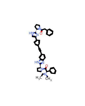 CCN(CC)[C@@H](C(=O)N1CCC[C@H]1c1nc2ccc(C#Cc3ccc(-c4c[nH]c([C@@H]5CCCN5C(=O)Cc5ccccc5)n4)cc3)cc2[nH]1)c1ccccc1